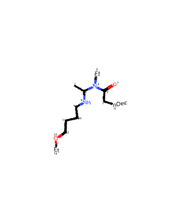 CCCCCCCCCCCC(=O)N(CC)C(C)NCCCCOCC